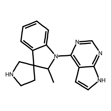 CC1N(c2ncnc3[nH]ccc23)c2ccccc2C12CCNC2